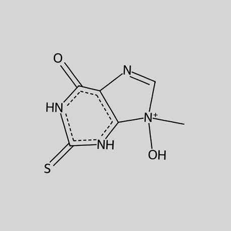 C[N+]1(O)C=Nc2c1[nH]c(=S)[nH]c2=O